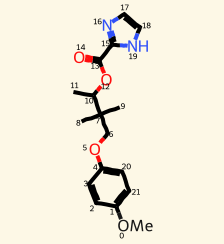 COc1ccc(OCC(C)(C)C(C)OC(=O)c2ncc[nH]2)cc1